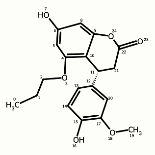 CCCOc1cc(O)cc2c1[C@@H](c1ccc(O)c(OC)c1)CC(=O)O2